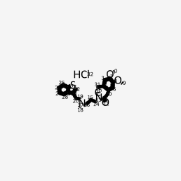 COc1cc2c(cc1OC)CC(=O)N(CCCN(C)CCc1csc3ccccc13)CC2.Cl